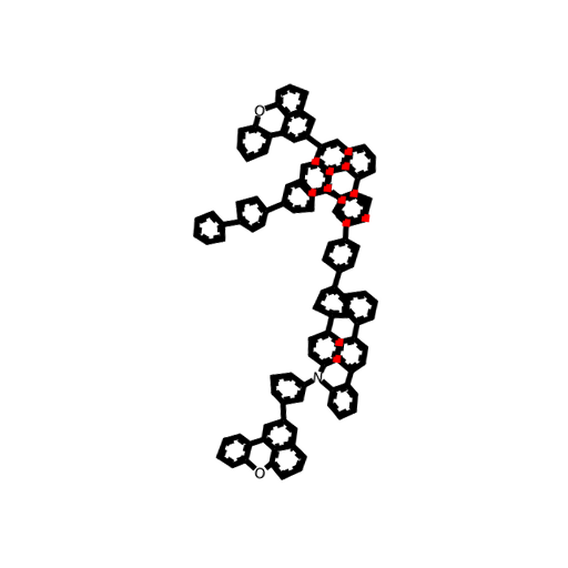 c1ccc(-c2ccc(-c3ccc(N(c4cccc(-c5cc6c7c(cccc7c5)Oc5ccccc5-6)c4)c4cc(-c5ccc(-c6ccc(-c7ccc(N(c8cccc(-c9cc%10c%11c(cccc%11c9)Oc9ccccc9-%10)c8)c8ccccc8-c8ccc(-c9ccccc9)cc8)cc7)cc6)cc5)ccc4-c4ccccc4-c4ccccc4-c4ccccc4)cc3)cc2)cc1